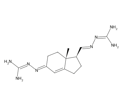 C[C@]12CC/C(=N\N=C(N)N)C=C1CC[C@@H]2/C=N/N=C(N)N